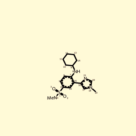 CNS(=O)(=O)c1ccc(NC2CCCCC2)c(-c2cn(C)cn2)c1